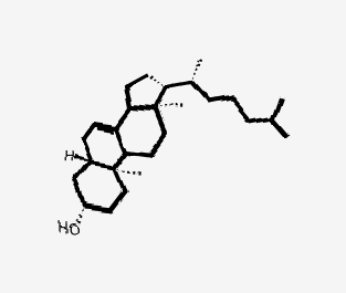 CC(C)CCC[C@@H](C)[C@H]1CCC2C3=CC[C@H]4C[C@@H](O)CC[C@]4(C)C3CC[C@@]21C